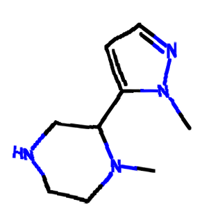 CN1CCNCC1c1ccnn1C